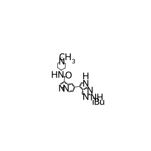 CCC(C)Nc1ncc2c(-c3ccn4ncc(C(=O)NC5CCN(C)CC5)c4c3)c[nH]c2n1